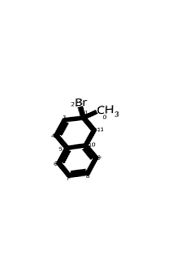 CC1(Br)C=Cc2ccccc2C1